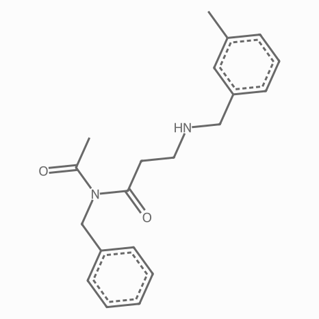 CC(=O)N(Cc1ccccc1)C(=O)CCNCc1cccc(C)c1